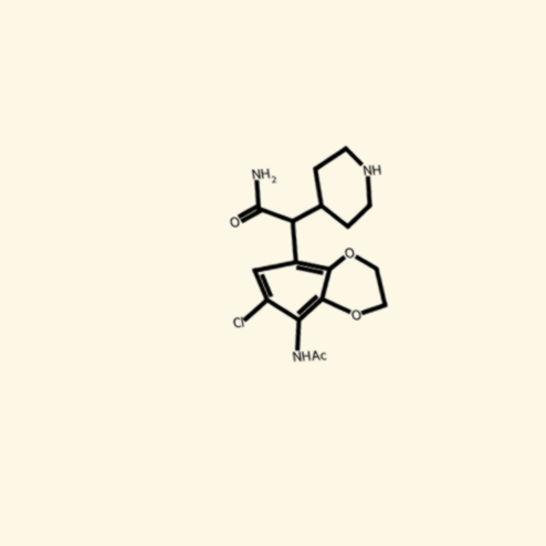 CC(=O)Nc1c(Cl)cc(C(C(N)=O)C2CCNCC2)c2c1OCCO2